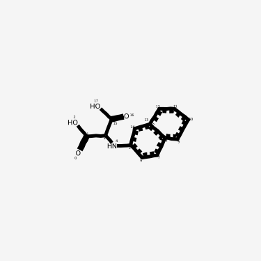 O=C(O)C(Nc1ccc2ccccc2c1)C(=O)O